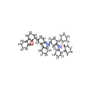 c1ccc(B2c3ccccc3-c3ccccc3N2c2cccc(-n3c4ccccc4c4cc(-c5cccc6c5oc5ccccc56)ccc43)c2)cc1